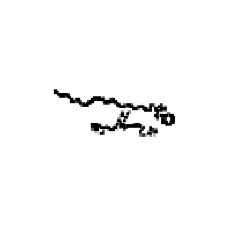 CCCCCCCCCCCCCCOS(=O)(=O)c1ccccc1.OCCNCCO